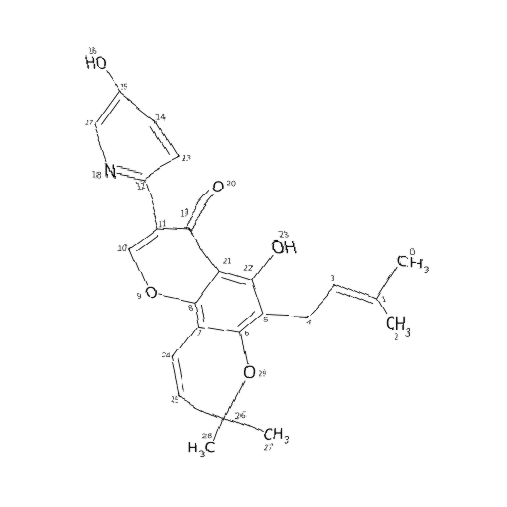 CC(C)=CCc1c2c(c3occ(-c4ccc(O)cn4)c(=O)c3c1O)C=CC(C)(C)O2